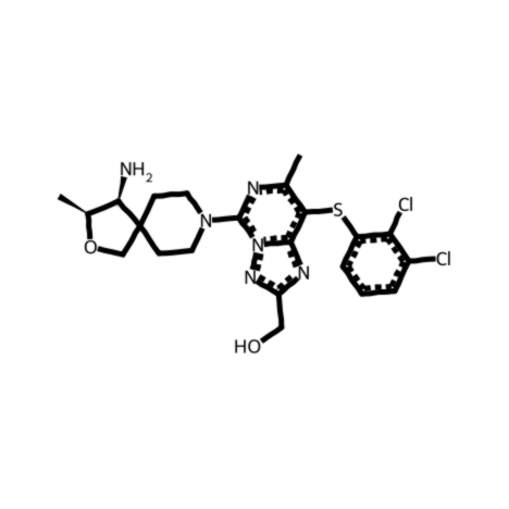 Cc1nc(N2CCC3(CC2)CO[C@@H](C)[C@H]3N)n2nc(CO)nc2c1Sc1cccc(Cl)c1Cl